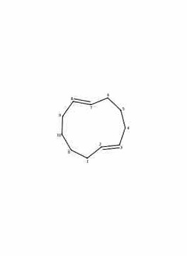 [CH]1C/C=C/CCC/C=C/CC1